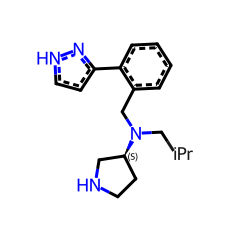 CC(C)CN(Cc1ccccc1-c1cc[nH]n1)[C@H]1CCNC1